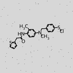 Cc1cc(N(C)Cc2ccc(SCl)cc2)ccc1NC(=O)Cc1cccs1